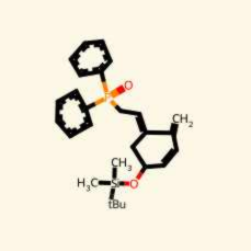 C=C1C=CC(O[Si](C)(C)C(C)(C)C)CC1=CCP(=O)(c1ccccc1)c1ccccc1